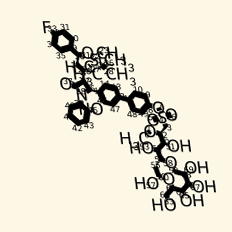 CO[C@@H](CS(=O)(=O)Oc1ccc(-c2ccc([C@@H]3[C@@H](CC[C@H](O[Si](C)(C)C(C)(C)C)c4ccc(F)cc4)C(=O)N3c3ccccc3)c(O)c2)cc1)[C@@H](O)C(O)[C@@H](CCO)O[C@@H]1OC(CO)[C@@H](O)C(O)[C@@H]1O